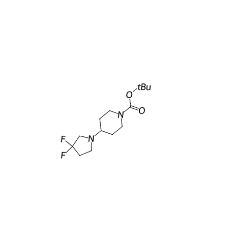 CC(C)(C)OC(=O)N1CCC(N2CCC(F)(F)C2)CC1